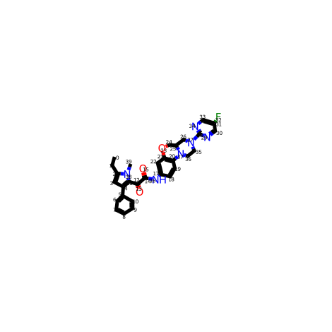 CCc1cc(-c2ccccc2)c(C(=O)C(=O)Nc2ccc3c(c2)OCC2CN(c4ncc(F)cn4)CCN32)n1C